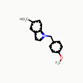 O=C(O)c1ccc2c(ccn2Cc2ccc(OC(F)(F)F)cc2)c1